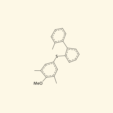 COc1c(C)cc(Sc2ccccc2-c2ccccc2C)cc1C